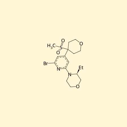 CC[C@H]1COCCN1c1cc(C2(S(C)(=O)=O)CCOCC2)cc(Br)n1